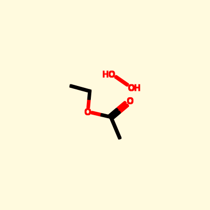 CCOC(C)=O.OO